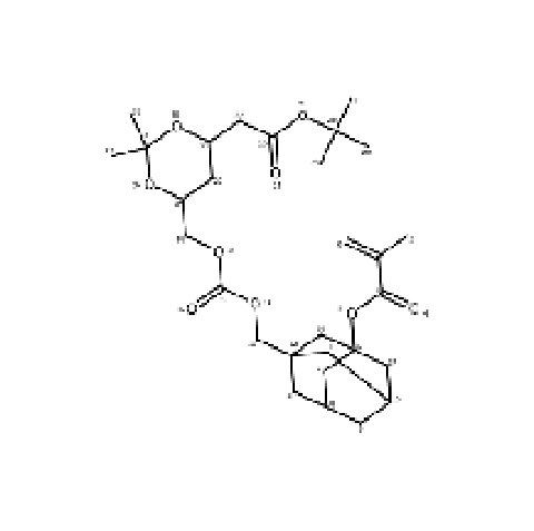 C=C(C)C(=O)OC12CC3CC(CC(COC(=O)OCC4CC(CC(=O)OC(C)(C)C)OC(C)(C)O4)(C3)C1)C2